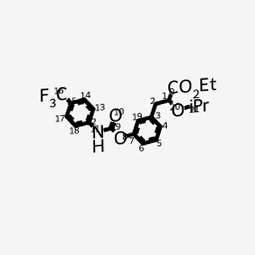 CCOC(=O)C(Cc1cccc(OC(=O)Nc2ccc(C(F)(F)F)cc2)c1)OC(C)C